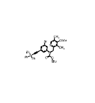 COc1c(C)cnc(CN(C(=O)OC(C)(C)C)c2cc(Br)cc(C#C[Si](C(C)C)(C(C)C)C(C)C)c2)c1C